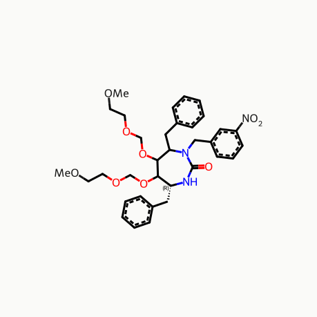 COCCOCOC1C(OCOCCOC)[C@@H](Cc2ccccc2)NC(=O)N(Cc2cccc([N+](=O)[O-])c2)C1Cc1ccccc1